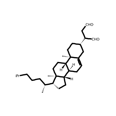 CC(C)CCC[C@@H](C)[C@H]1CC[C@H]2[C@@H]3CC=C4C[C@@H](C([C]=O)C[C]=O)CC[C@]4(C)[C@H]3CC[C@]12C